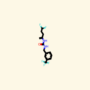 C=C(CCC(F)F)NC(=O)NCc1cccc(C(F)(F)F)c1